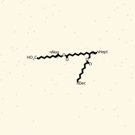 CCCCCCC/C=C/C(CCCCCCCC(=O)OC/C(=C/CCCCCCC(=O)O)CCCCCCCCC)COC(=O)CCCCCCCCCCCCCCCCC